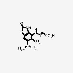 Cc1c(N(C)C)cc2sc(=O)[nH]c2c1NN=CC(=O)O